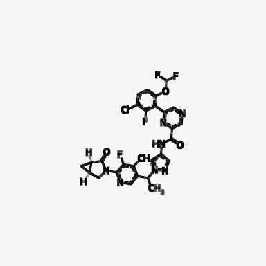 Cc1c(C(C)n2cc(NC(=O)c3cncc(-c4c(OC(F)F)ccc(Cl)c4F)n3)cn2)cnc(N2C[C@H]3C[C@H]3C2=O)c1F